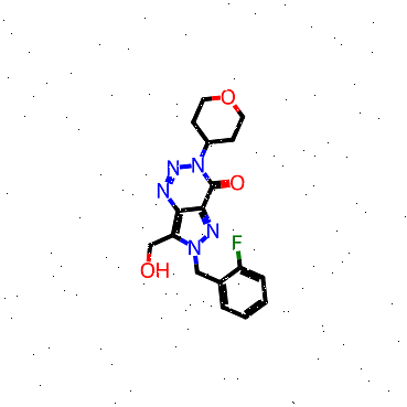 O=c1c2nn(Cc3ccccc3F)c(CO)c2nnn1C1CCOCC1